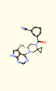 Cc1c[nH]c2ncnc(N3CCN(C(=O)c4cccc(C#N)c4)C4(CC4)C3)c12